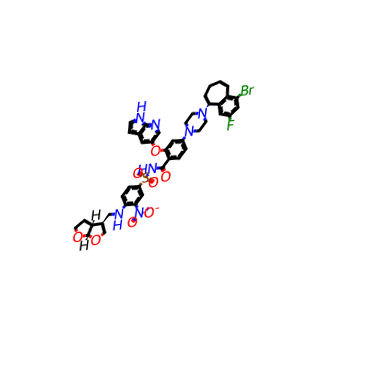 O=C(NS(=O)(=O)c1ccc(NC[C@H]2CO[C@H]3OCC[C@@H]23)c([N+](=O)[O-])c1)c1ccc(N2CCN([C@@H]3CCCCc4c(Br)cc(F)cc43)CC2)cc1Oc1cnc2[nH]ccc2c1